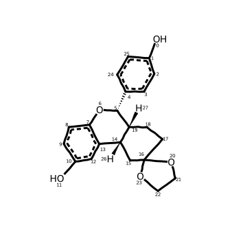 Oc1ccc([C@H]2Oc3ccc(O)cc3[C@H]3CC4(CC[C@H]32)OCCO4)cc1